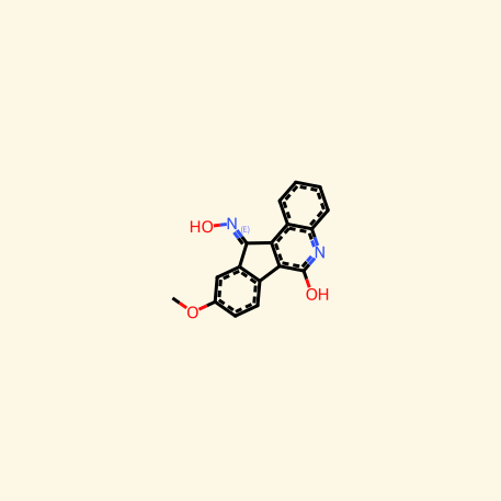 COc1ccc2c(c1)/C(=N\O)c1c-2c(O)nc2ccccc12